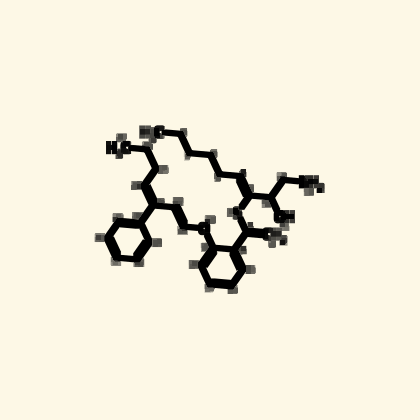 C=C(S/C(=C\CCCCC)C(O)CN)c1ccccc1O/C=C/C(=C\CCC)c1ccccc1